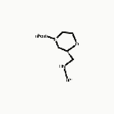 CCCCCN1CCO[C@@H](CNCCC)C1